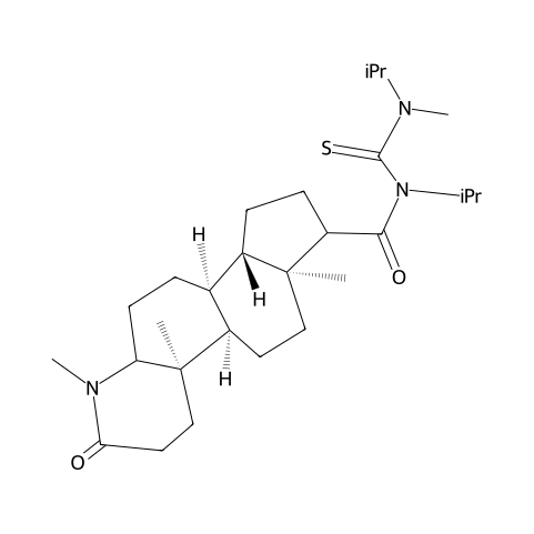 CC(C)N(C)C(=S)N(C(=O)C1CC[C@H]2[C@@H]3CCC4N(C)C(=O)CC[C@]4(C)[C@@H]3CC[C@]12C)C(C)C